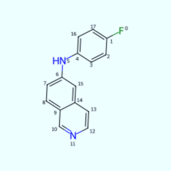 Fc1ccc(Nc2ccc3cnccc3c2)cc1